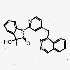 CC1(O)C(=O)N(c2cc(Cc3nncc4ccccc34)ccn2)c2ccccc21